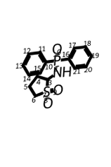 O=P(NC1CCCS1(=O)=O)(c1ccccc1)c1ccccc1